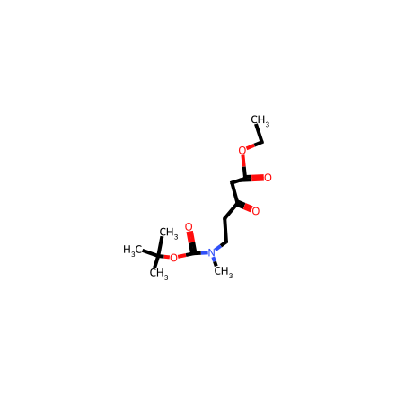 CCOC(=O)CC(=O)CCN(C)C(=O)OC(C)(C)C